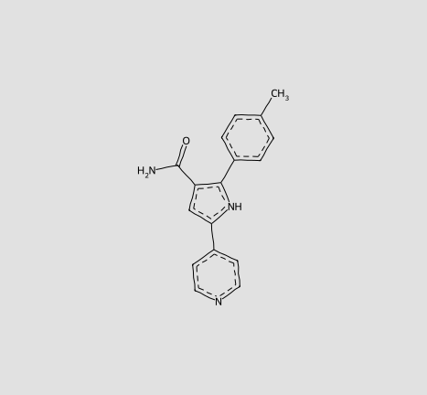 Cc1ccc(-c2[nH]c(-c3ccncc3)cc2C(N)=O)cc1